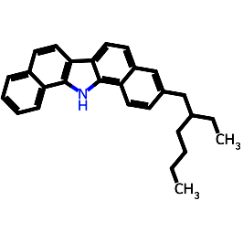 CCCCC(CC)Cc1ccc2c(ccc3c4ccc5ccccc5c4[nH]c23)c1